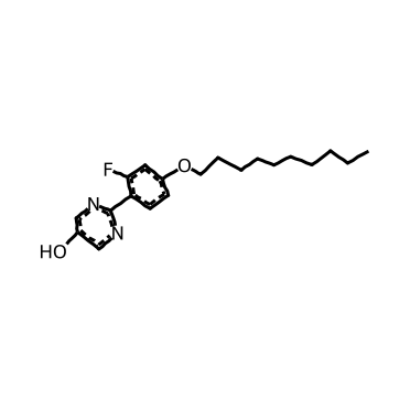 CCCCCCCCCCOc1ccc(-c2ncc(O)cn2)c(F)c1